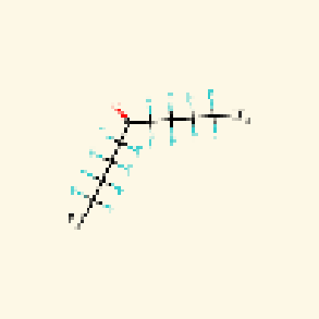 O=C(C(F)(F)C(F)(F)C(F)(F)C(F)(F)C(F)(F)F)C(F)(F)C(F)(F)C(F)(F)C(F)(F)C(F)(F)F